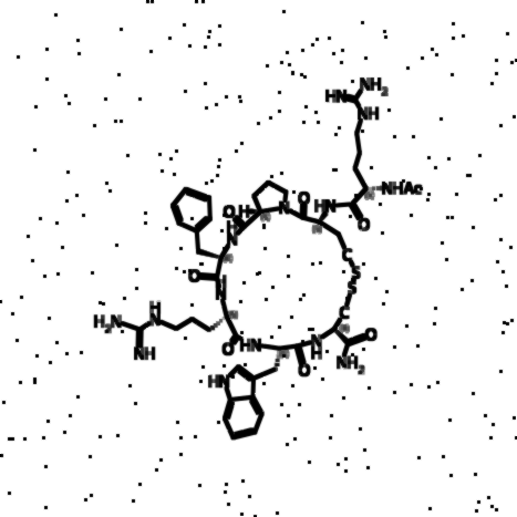 CC(=O)N[C@@H](CCCNC(=N)N)C(=O)N[C@H]1CCSSC[C@@H](C(N)=O)NC(=O)[C@H](Cc2c[nH]c3ccccc23)NC(=O)[C@H](CCCNC(=N)N)NC(=O)[C@@H](Cc2ccccc2)NC(=O)[C@@H]2CCCN2C1=O